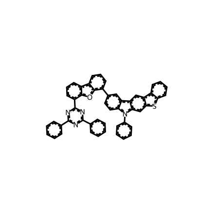 c1ccc(-c2nc(-c3ccccc3)nc(-c3cccc4c3oc3c(-c5ccc6c(c5)c5cc7c(cc5n6-c5ccccc5)sc5ccccc57)cccc34)n2)cc1